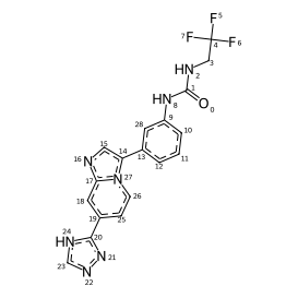 O=C(NCC(F)(F)F)Nc1cccc(-c2cnc3cc(-c4nnc[nH]4)ccn23)c1